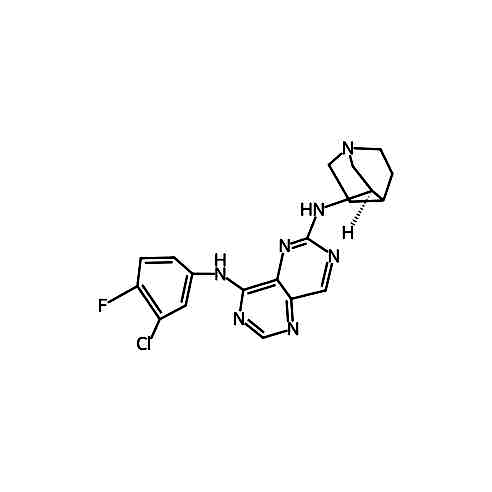 Fc1ccc(Nc2ncnc3cnc(N[C@H]4CN5CCC4CC5)nc23)cc1Cl